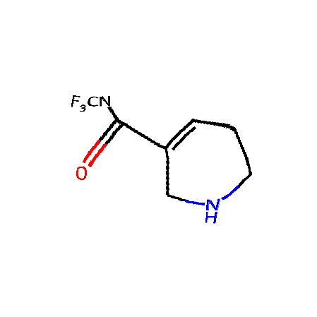 O=C(NC(F)(F)F)C1=CCCNC1